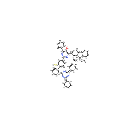 CC1(C)c2ccccc2-c2ccc(-c3nc(-c4ccc5c(c4)sc4cccc(-c6nc(-c7ccccc7)nc(-c7ccccc7)n6)c45)nc4c3oc3ccccc34)cc21